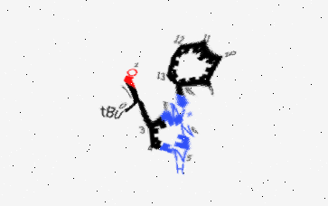 CC(C)(C)C(=O)c1c[nH]n[n+]1-c1ccccc1